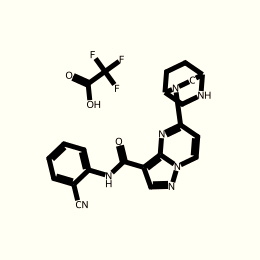 N#Cc1ccccc1NC(=O)c1cnn2ccc(N3CC4CCC3CN4)nc12.O=C(O)C(F)(F)F